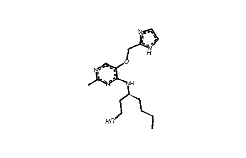 CCCC[C@@H](CCO)Nc1nc(C)ncc1OCc1ncc[nH]1